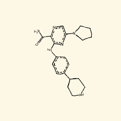 NC(=O)c1ncc(N2CCCC2)nc1Nc1ccc(C2CCNCC2)cc1